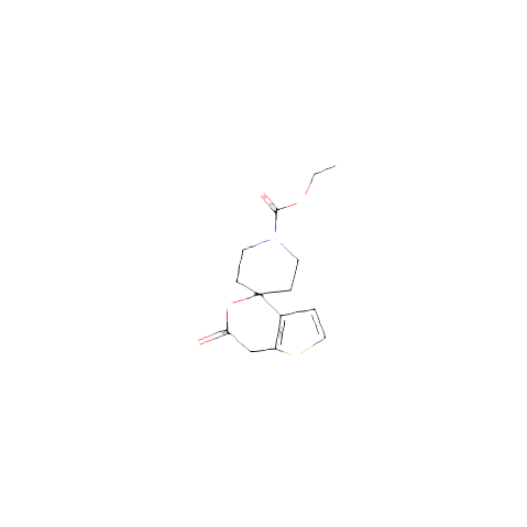 CCOC(=O)N1CCC2(CC1)OC(=O)Cc1sccc12